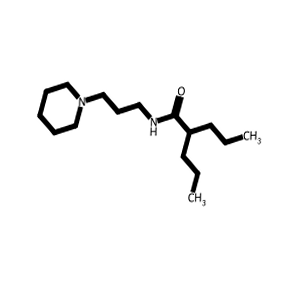 CCCC(CCC)C(=O)NCCCN1CCCCC1